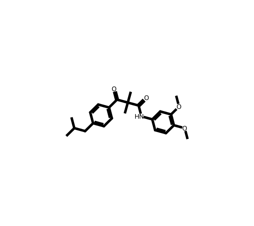 COc1ccc(NC(=O)C(C)(C)C(=O)c2ccc(CC(C)C)cc2)cc1OC